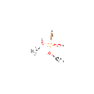 COP(=O)(Br)OC